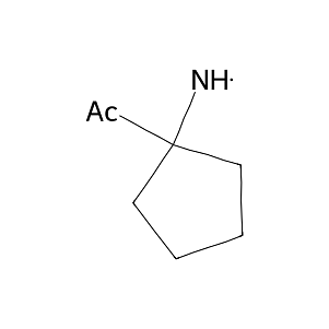 CC(=O)C1([NH])CCCC1